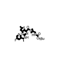 Cc1cc2nc(N[C@@H](C)c3cncc(F)c3)nc(C(=O)N3CC(CNC(=O)OC(C)(C)C)C3)c2s1